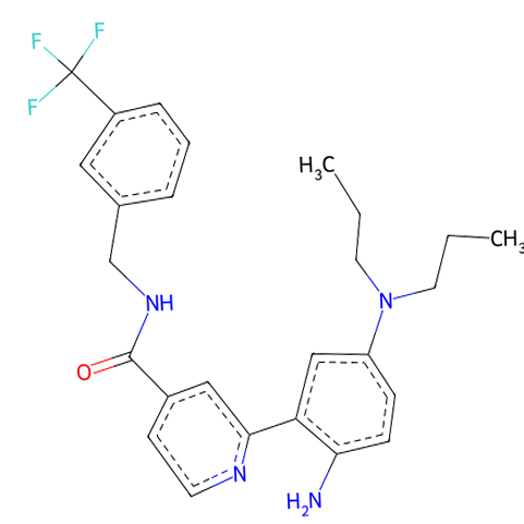 CCCN(CCC)c1ccc(N)c(-c2cc(C(=O)NCc3cccc(C(F)(F)F)c3)ccn2)c1